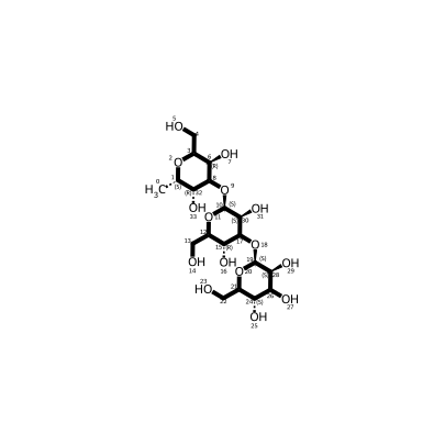 C[C@@H]1OC(CO)[C@@H](O)C(O[C@@H]2OC(CO)[C@@H](O)C(O[C@@H]3OC(CO)[C@@H](O)C(O)[C@@H]3O)[C@@H]2O)[C@@H]1O